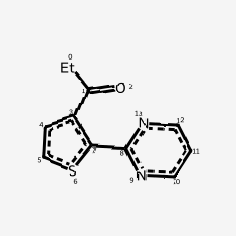 CCC(=O)c1ccsc1-c1ncccn1